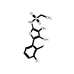 CCS(=O)(=O)Nc1oc(-c2cccc(Cl)c2F)c(O)c1O